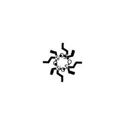 C=C[Si]1(CCC)O[Si](C=C)(CCC)O[Si](C=C)(CCC)O[Si](C=C)(CCC)O1